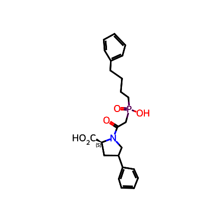 O=C(O)[C@@H]1CC(c2ccccc2)CN1C(=O)CP(=O)(O)CCCCc1ccccc1